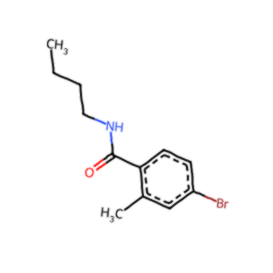 CCCCNC(=O)c1ccc(Br)cc1C